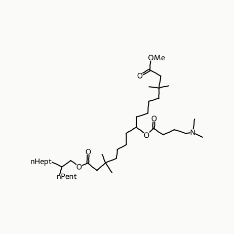 CCCCCCCC(CCCCC)COC(=O)CC(C)(C)CCCCC(CCCCC(C)(C)CC(=O)OC)OC(=O)CCCN(C)C